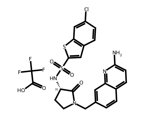 Nc1ccc2ccc(CN3CC[C@H](NS(=O)(=O)c4cc5ccc(Cl)cc5s4)C3=O)cc2n1.O=C(O)C(F)(F)F